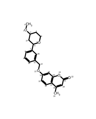 COC1CCOC(c2cccc(COc3ccc4c(C)cc(=O)oc4c3)c2)C1